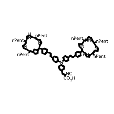 [C-]#[N+]/C(=C\c1ccc(N(c2ccc(/C=C/c3ccc(/C4=C5C=C/C(=C(\CCCCC)C6=N/C(=C(/CCCCC)c7ccc([nH]7)/C(CCCCC)=C7/C=CC4=N7)C=C6)C\5)cc3)cc2)c2ccc(/C=C/c3ccc(-c4c5nc(c(CCCCC)c6ccc([nH]6)c(CCCCC)c6nc(c(CCCCC)c7ccc4[nH]7)C=C6)C=C5)cc3)cc2)cc1)C(=O)O